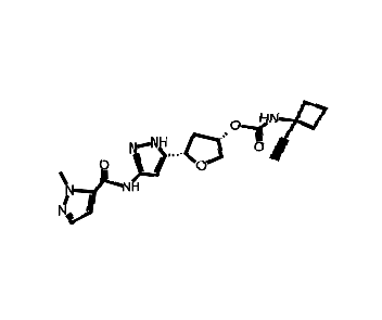 C#CC1(NC(=O)O[C@@H]2CO[C@H](c3cc(NC(=O)c4ccnn4C)n[nH]3)C2)CCC1